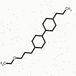 CCCC1CCC(C2CCC(CCCOCC)CC2)CC1